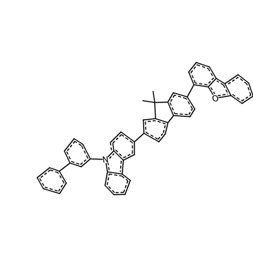 CC1(C)c2cc(-c3ccc4c(c3)c3ccccc3n4-c3cccc(-c4ccccc4)c3)ccc2-c2ccc(-c3cccc4c3oc3ccccc34)cc21